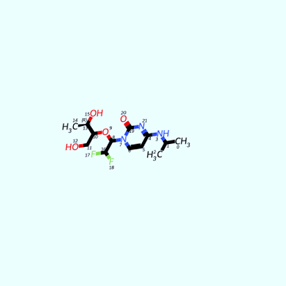 CC(C)Nc1ccn(C(OC(CO)[C@@H](C)O)C(F)F)c(=O)n1